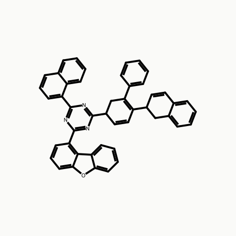 C1=CC(c2nc(-c3cccc4ccccc34)nc(-c3cccc4oc5ccccc5c34)n2)CC(c2ccccc2)=C1C1C=Cc2ccccc2C1